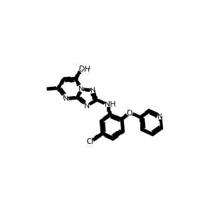 Cc1cc(O)n2nc(Nc3cc(Cl)ccc3Oc3cccnc3)nc2n1